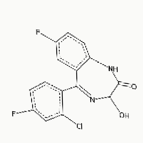 O=C1Nc2ccc(F)cc2C(c2ccc(F)cc2Cl)=NC1O